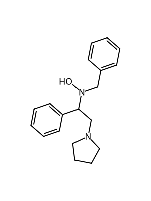 ON(Cc1ccccc1)C(CN1CCCC1)c1ccccc1